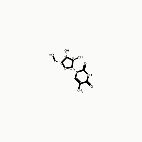 Cc1cn([C@@H]2O[C@H](CO)[C@H](O)[C@H]2O)c(=O)[nH]c1=O